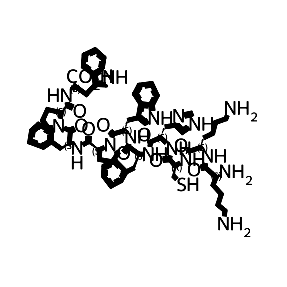 NCCCC[C@H](NC(=O)[C@@H](N)CCCCN)C(=O)N[C@@H](CS)C(=O)N[C@@H](Cc1c[nH]cn1)C(=O)N[C@@H](Cc1ccccc1)C(=O)N[C@@H](Cc1c[nH]c2ccccc12)C(=O)N1CCC[C@H]1C(=O)N[C@@H](Cc1ccccc1)C(=O)N1CCC[C@H]1C(=O)N[C@@H](Cc1c[nH]c2ccccc12)C(=O)O